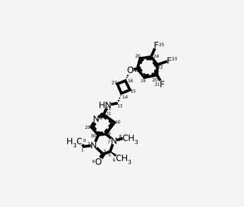 CCN1C(=O)[C@H](C)N(C)c2cc(NC[C@H]3C[C@@H](Oc4cc(F)c(F)c(F)c4)C3)ncc21